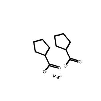 O=C([O-])C1CCCC1.O=C([O-])C1CCCC1.[Mg+2]